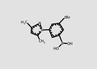 Cc1cc(C)n(-c2cc(B(O)O)cc(C(C)(C)C)c2)n1